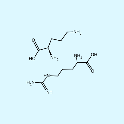 N=C(N)NCCC[C@H](N)C(=O)O.NCCC[C@@H](N)C(=O)O